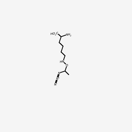 CC(N=[N+]=[N-])ONCCCCC(N)C(=O)O